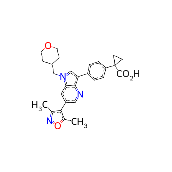 Cc1noc(C)c1-c1cnc2c(-c3ccc(C4(C(=O)O)CC4)cc3)cn(CC3CCOCC3)c2c1